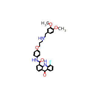 COc1ccc(CCNCCCOc2ccc(NC(=O)c3cccc4c(=O)c5cccc(F)c5[nH]c34)cc2)cc1OC